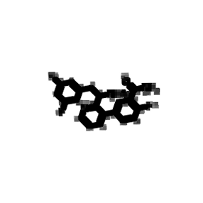 CC(=O)NC(Cc1cc(F)cc(F)c1)c1ncccc1-c1ccc(F)c(C(N)=O)c1